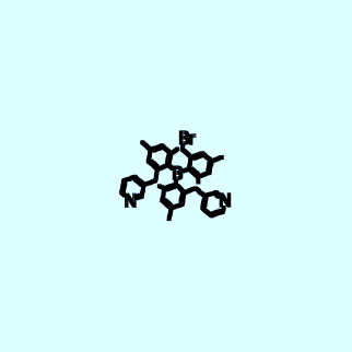 Cc1cc(C)c(B(c2c(C)cc(C)cc2Cc2cccnc2)c2c(C)cc(C)cc2Cc2cccnc2)c(CBr)c1